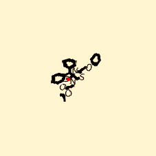 C=C(C)OC(=O)CN1C(=O)C2(C(c3ccccc3)c3ccccc3)N=C(COc3ccccc3)SC12